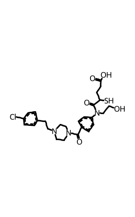 O=C(O)CCC(S)C(=O)N(CCO)c1ccc(C(=O)N2CCN(CCc3ccc(Cl)cc3)CC2)cc1